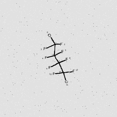 [O]C(F)(F)C(F)(F)C(F)(F)C([O])(F)F